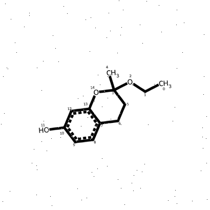 CCOC1(C)CCc2ccc(O)cc2O1